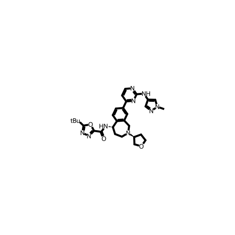 Cn1cc(Nc2nccc(-c3ccc4c(c3)CN([C@H]3CCOC3)CC[C@@H]4NC(=O)c3nnc(C(C)(C)C)o3)n2)cn1